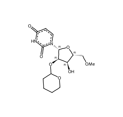 COC[C@H]1O[C@@H](n2ccc(=O)[nH]c2=O)[C@H](OC2CCCCO2)[C@@H]1O